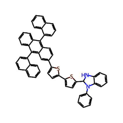 c1ccc(N2c3ccccc3NC2c2ccc(-c3ccc(-c4ccc5c(-c6cccc7ccccc67)c6ccccc6c(-c6cccc7ccccc67)c5c4)s3)s2)cc1